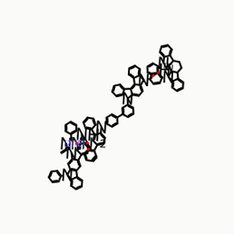 C=C(/N=C(\N=C(/N)n1c2ccc#cc2c2ccc3c(c4ccccc4n3-c3ccc(-c4cccc(-n5c6ccccc6c6c7c8ccccc8n(-c8ccc(N9c%10ccccc%10C%10CCC%11c%12ccccc%12N(c%12ccccc%12)[C@@H]%11C%109)cc8)c7ccc65)c4)cc3)c21)c1ccccc1)n1c2ccccc2c2cc3c4ccccc4n(-c4ccccc4)c3cc21